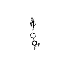 CC[SiH]1CCC(CC[C@H]2CC[C@H](c3ccc(F)c(F)c3)CC2)CC1